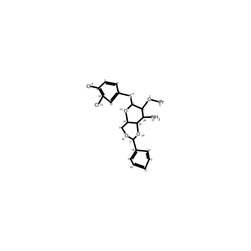 CC(C)OC1C(Sc2ccc(Cl)c(Cl)c2)OC2COC(c3ccccc3)OC2C1N